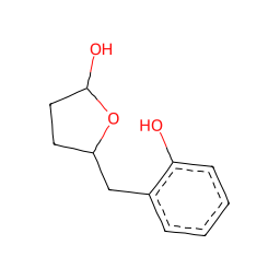 Oc1ccccc1CC1CCC(O)O1